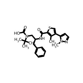 Cc1c(-c2ccnn2C)csc1C(=O)NC(Cc1ccccc1)CN(C(=O)O)C(C)(C)C